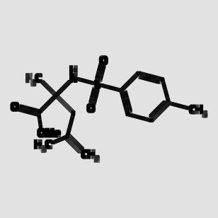 C=C(C)CC(NS(=O)(=O)c1ccc(C)cc1)(C(=O)OC)C(F)(F)F